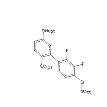 CCCCCCCCOc1ccc(-c2cc(CCCCCCC)ccc2C(=O)O)c(F)c1F